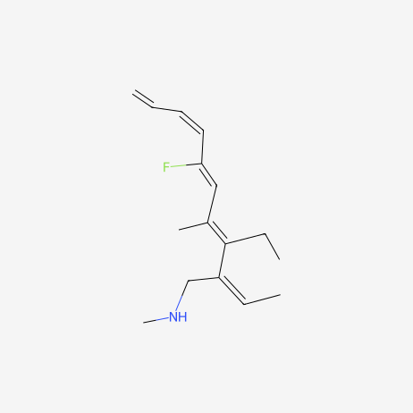 C=C\C=C/C(F)=C/C(C)=C(CC)/C(=C\C)CNC